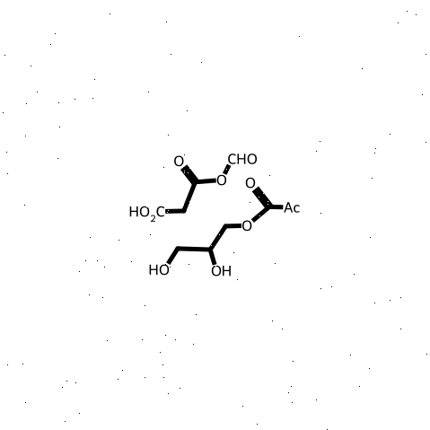 CC(=O)C(=O)OCC(O)CO.O=COC(=O)CC(=O)O